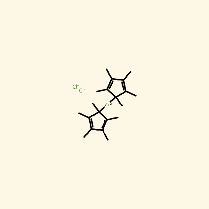 CC1=C(C)[C](C)([Zr+2][C]2(C)C(C)=C(C)C(C)=C2C)C(C)=C1C.[Cl-].[Cl-]